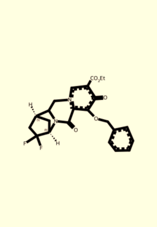 CCOC(=O)c1cn2c(c(OCc3ccccc3)c1=O)C(=O)N1C(C2)[C@H]2C[C@@H]1C(F)(F)C2